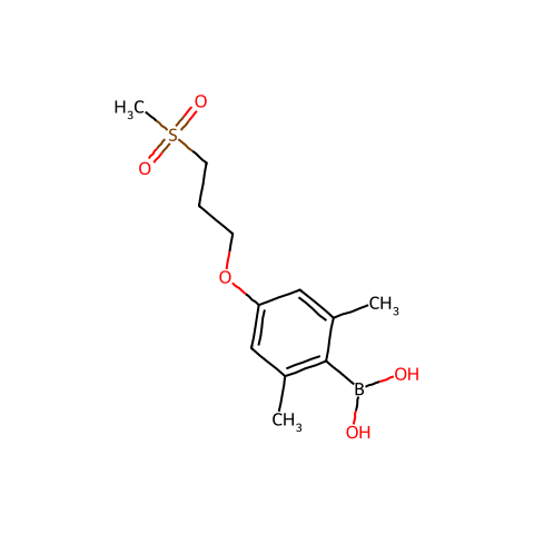 Cc1cc(OCCCS(C)(=O)=O)cc(C)c1B(O)O